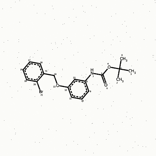 CC(C)(C)OC(=O)Nc1cccc(OCc2ccccc2Br)c1